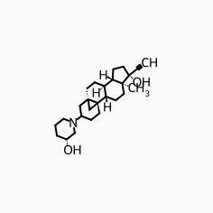 C#C[C@]1(O)CC[C@H]2[C@@H]3CC[C@]45CC(N6CCC[C@@H](O)C6)CC[C@]4(C5)[C@H]3CC[C@@]21C